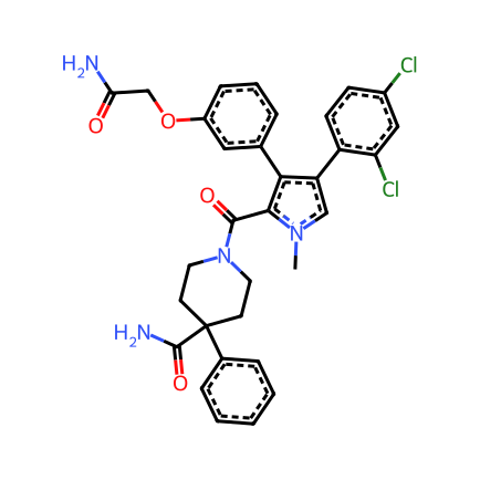 Cn1cc(-c2ccc(Cl)cc2Cl)c(-c2cccc(OCC(N)=O)c2)c1C(=O)N1CCC(C(N)=O)(c2ccccc2)CC1